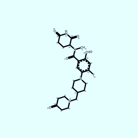 CN(C(=O)c1cc(N2CCC(CN3CCC(=O)CC3)CC2)c(F)cc1C=O)C1CCC(=O)NC1=O